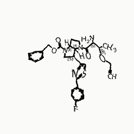 C#CCO[C@H](C)[C@H](N)C(=O)N1CC[C@@H]2[C@H]1[C@@H](c1csc(-c3ccc(F)cc3)n1)CN2C(=O)OCc1ccccc1